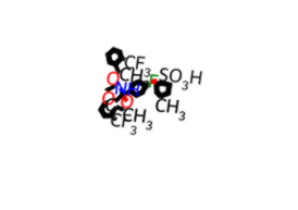 CC(OC1COCC(OC(C)c2ccccc2C(F)(F)F)(c2ccc(F)cc2)N1)c1ccccc1C(F)(F)F.Cc1ccc(S(=O)(=O)O)cc1